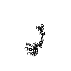 COc1ncc(C(=O)N2CCC(OCC#Cc3cccn4c(N5CCC(=O)NC5=O)cnc34)CC2)cc1-c1nc2c(n1C(C)C)[C@H](c1ccc(Cl)cc1)N(c1cc(Cl)cn(C)c1=O)C2=O